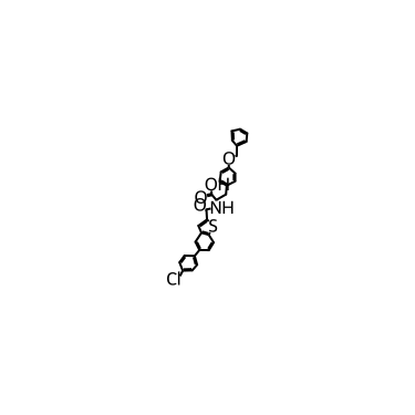 O=C(NC(Cc1ccc(OCc2ccccc2)cc1)C(=O)O)c1cc2cc(-c3ccc(Cl)cc3)ccc2s1